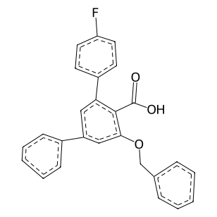 O=C(O)c1c(OCc2ccccc2)cc(-c2ccccc2)cc1-c1ccc(F)cc1